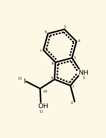 Cc1[nH]c2ccccc2c1C(O)I